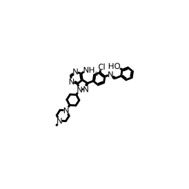 CN1CCN(C2CCC(n3nc(-c4ccc(N=Cc5ccccc5O)c(Cl)c4)c4c(N)ncnc43)CC2)CC1